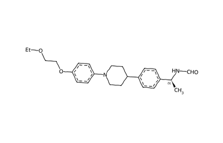 CCOCCOc1ccc(N2CCC(c3ccc([C@H](C)NC=O)cc3)CC2)cc1